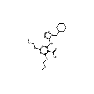 COCOc1cc(Nc2ccnn2CC2CCCCC2)c(C(=O)O)c(OCOC)c1